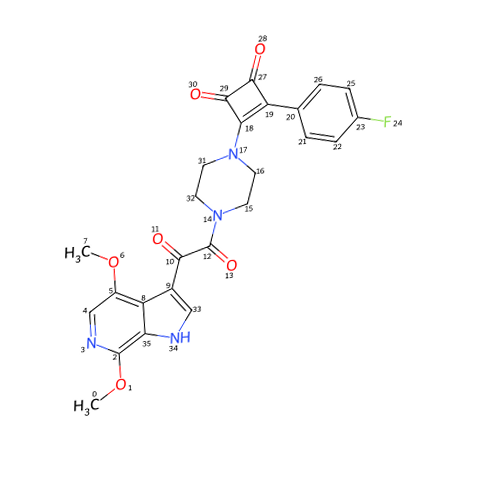 COc1ncc(OC)c2c(C(=O)C(=O)N3CCN(c4c(-c5ccc(F)cc5)c(=O)c4=O)CC3)c[nH]c12